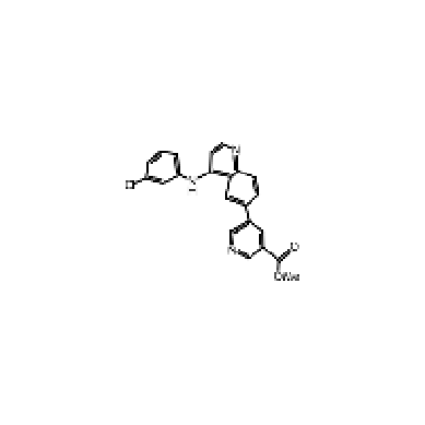 COC(=O)c1cncc(-c2ccc3nccc(Nc4cccc(Cl)c4)c3c2)c1